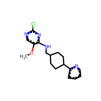 COc1cnc(Cl)nc1NCC1CCC(c2ccccn2)CC1